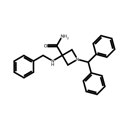 NC(=O)C1(NCc2ccccc2)CN(C(c2ccccc2)c2ccccc2)C1